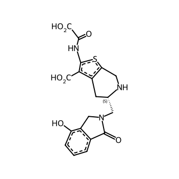 O=C(O)C(=O)Nc1sc2c(c1C(=O)O)C[C@@H](CN1Cc3c(O)cccc3C1=O)NC2